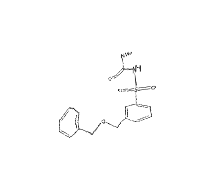 CNC(=O)NS(=O)(=O)c1cccc(COCc2ccccc2)c1